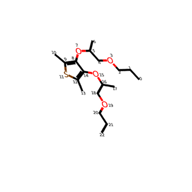 CCCOCC(C)Oc1c(C)sc(C)c1OC(C)COCCC